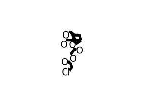 O=C(CCl)OCC(=O)O[C@@H]1C2CC3C(=O)OC1C3C2